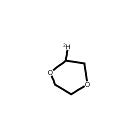 [2H]C1COCCO1